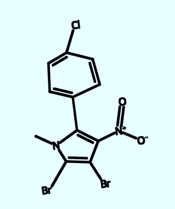 Cn1c(Br)c(Br)c([N+](=O)[O-])c1-c1ccc(Cl)cc1